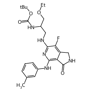 CCOCC(CNc1nc(Nc2cccc(C)c2)c2c(c1F)CNC2=O)NC(=O)OC(C)(C)C